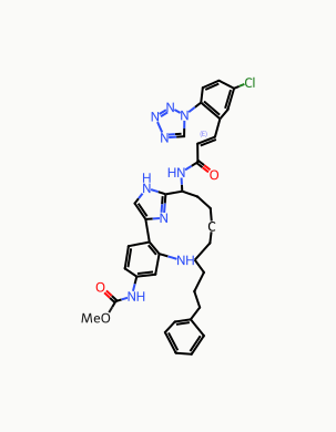 COC(=O)Nc1ccc2c(c1)NC(CCCc1ccccc1)CCCCC(NC(=O)/C=C/c1cc(Cl)ccc1-n1cnnn1)c1nc-2c[nH]1